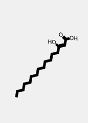 CCCCCCCCCCCCCC(O)=CC(=O)O